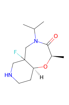 CC(C)N1CC2(F)CNCC[C@@H]2O[C@H](C)C1=O